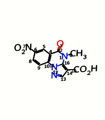 Cn1c(=O)c2cc([N+](=O)[O-])ccc2n2ncc(C(=O)O)c12